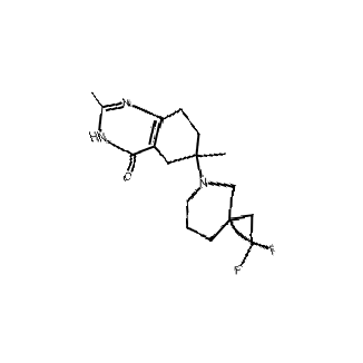 Cc1nc2c(c(=O)[nH]1)CC(C)(N1CCCC3(C1)CC3(F)F)CC2